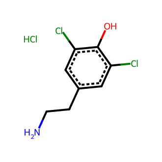 Cl.NCCc1cc(Cl)c(O)c(Cl)c1